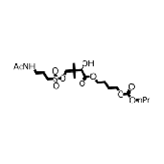 CCCOC(=O)OCCCCOC(=O)[C@H](O)C(C)(C)COS(=O)(=O)CCCNC(C)=O